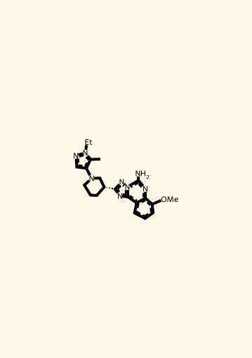 CCn1ncc(N2CCC[C@@H](c3nc4c5cccc(OC)c5nc(N)n4n3)C2)c1C